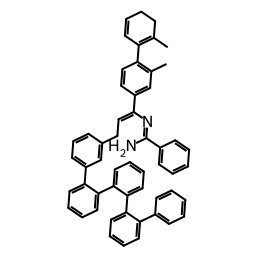 CC1=C(c2ccc(C(=C/Cc3cccc(-c4ccccc4-c4ccccc4-c4ccccc4-c4ccccc4)c3)/N=C(\N)c3ccccc3)cc2C)C=CCC1